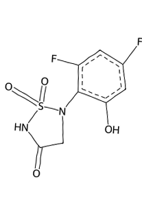 O=C1CN(c2c(O)cc(F)cc2F)S(=O)(=O)N1